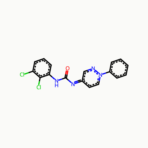 O=C(/N=c1/ccn(-c2ccccc2)nc1)Nc1cccc(Cl)c1Cl